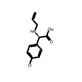 C=CCN[C@@H](C(=O)O)c1ccc(Cl)cc1